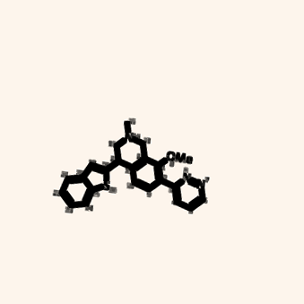 COc1c(-c2cccnn2)ccc2c1CN(C)CC2c1cc2ccccc2s1